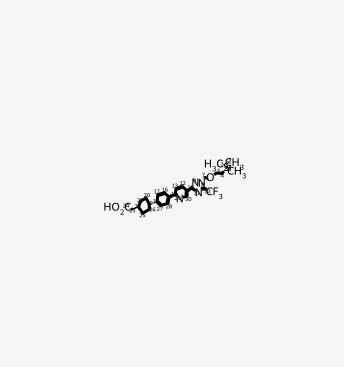 C[Si](C)(C)CCOCn1nc(-c2ccc(-c3ccc([C@H]4CC[C@H](CC(=O)O)CC4)cc3)nc2)nc1C(F)(F)F